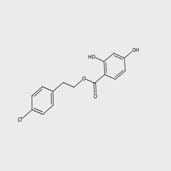 O=C(OCCc1ccc(Cl)cc1)c1ccc(O)cc1O